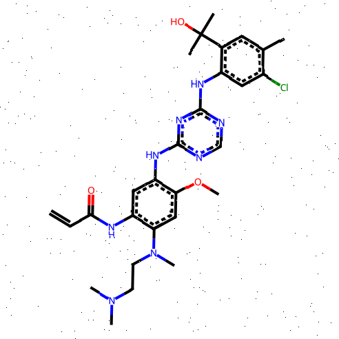 C=CC(=O)Nc1cc(Nc2ncnc(Nc3cc(Cl)c(C)cc3C(C)(C)O)n2)c(OC)cc1N(C)CCN(C)C